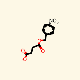 [O]C(=O)CCC(=O)OCc1ccc([N+](=O)[O-])cc1